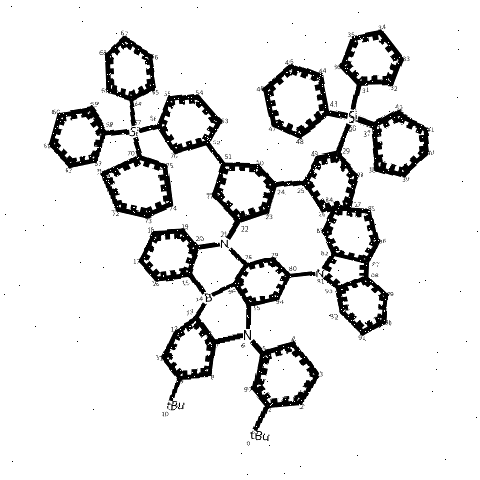 CC(C)(C)c1cccc(N2c3cc(C(C)(C)C)ccc3B3c4ccccc4N(c4cc(-c5cccc([Si](c6ccccc6)(c6ccccc6)c6ccccc6)c5)cc(-c5cccc([Si](c6ccccc6)(c6ccccc6)c6ccccc6)c5)c4)c4cc(-n5c6ccccc6c6ccccc65)cc2c43)c1